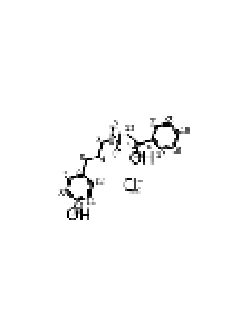 C[N+](C)(CCCc1ccc(O)cc1)CC(O)c1ccccc1.[Cl-]